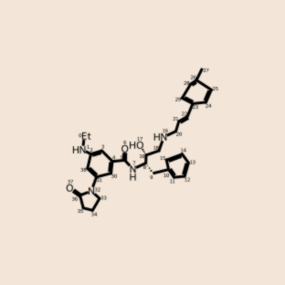 CCNc1cc(C(=O)N[C@@H](Cc2ccccc2)[C@H](O)CNC/C=C/c2ccc(C)cc2)cc(N2CCCC2=O)c1